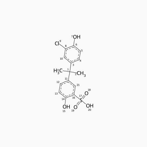 CC(C)(c1ccc(O)c(Cl)c1)c1ccc(O)c(S(=O)(=O)O)c1